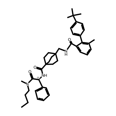 CCCCN(C)C(=O)[C@@H](NC(=O)C12CCC(CNC(=O)c3cccc(C)c3-c3ccc(C(C)(C)C)cc3)(CC1)CC2)c1ccccc1